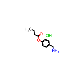 CCCC(=O)Oc1ccc(CN)cc1.Cl